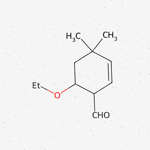 CCOC1CC(C)(C)C=CC1C=O